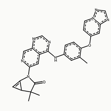 Cc1cc(Nc2ncnc3cnc(N4C(=O)C(C)(C)C5C=C54)cc23)ccc1Oc1ccn2ncnc2c1